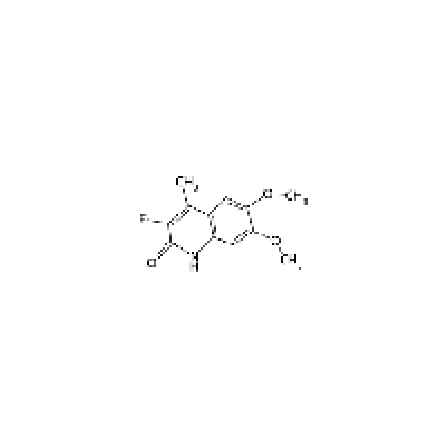 COc1cc2[nH]c(=O)c(F)c(C)c2cc1OC